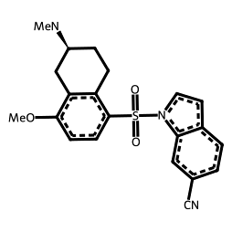 CN[C@H]1CCc2c(S(=O)(=O)n3ccc4ccc(C#N)cc43)ccc(OC)c2C1